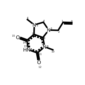 C=CCN1CN(C)c2c1n(C)c(=O)[nH]c2=O